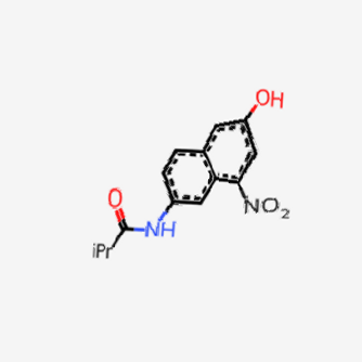 CC(C)C(=O)Nc1ccc2cc(O)cc([N+](=O)[O-])c2c1